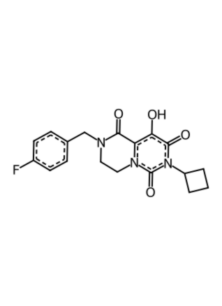 O=C1c2c(O)c(=O)n(C3CCC3)c(=O)n2CCN1Cc1ccc(F)cc1